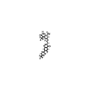 O=c1[nH]ncc(NC(CCCn2cnc3cc(-c4ncc(C(F)(F)F)cn4)c(F)cc3c2=O)COC(F)F)c1C(F)(F)F